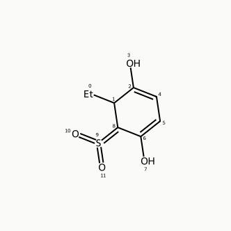 CCC1C(O)=CC=C(O)C1=S(=O)=O